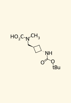 CN(C[C@H]1C[C@H](NC(=O)OC(C)(C)C)C1)C(=O)O